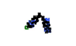 Clc1cnc(N2CCC([C@H]3C[C@@H]3CCNc3ccc(-n4cncn4)nc3)CC2)nc1